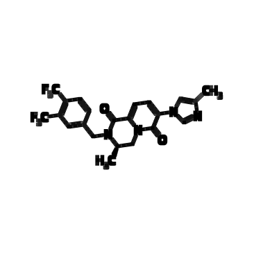 Cc1cn(-c2ccc3n(c2=O)C[C@@H](C)N(Cc2ccc(C(F)(F)F)c(C(F)(F)F)c2)C3=O)cn1